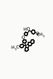 COc1ccc(C(O)c2ccc(Oc3ccc(C4(c5ccc(C)cc5)c5ccccc5-c5cc6ccccc6cc54)cc3)cc2)cc1